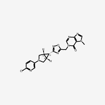 Cn1cnc2ncn(Cc3nc([C@@H]4[C@@H]5CN(c6ccc(Cl)nc6)C[C@@H]54)no3)c(=O)c21